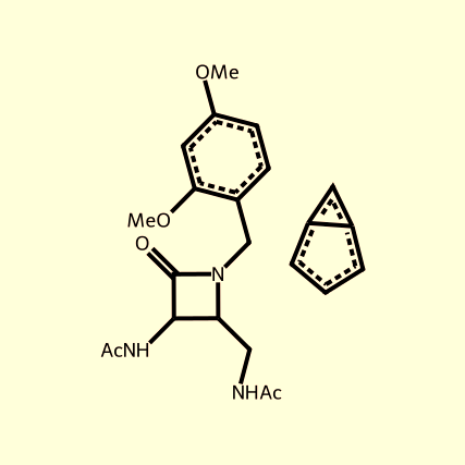 COc1ccc(CN2C(=O)C(NC(C)=O)C2CNC(C)=O)c(OC)c1.c1cc2cc-2c1